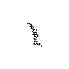 CC(=O)N1CC2(C1)CN(C(=O)Cn1cc3cc(NC(=O)c4cccc(C(F)(F)F)n4)ccc3n1)C2